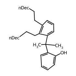 CCCCCCCCCCCCc1cccc(C(C)(C)c2ccccc2O)c1CCCCCCCCCCCC